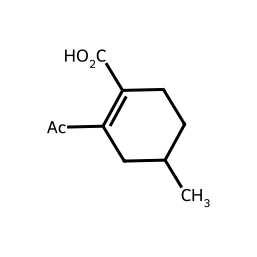 CC(=O)C1=C(C(=O)O)CCC(C)C1